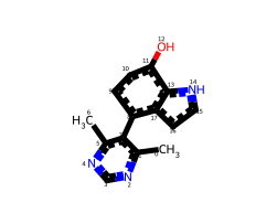 Cc1ncnc(C)c1-c1ccc(O)c2[nH]ccc12